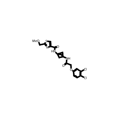 COCc1nc(C(=O)NC23CC(NC(=O)COc4ccc(Cl)c(Cl)c4)(C2)C3)cs1